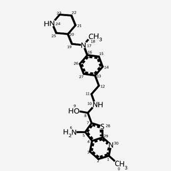 Cc1ccc2c(N)c(C(O)NCCc3ccc(N(C)CC4CCCNC4)cc3)sc2n1